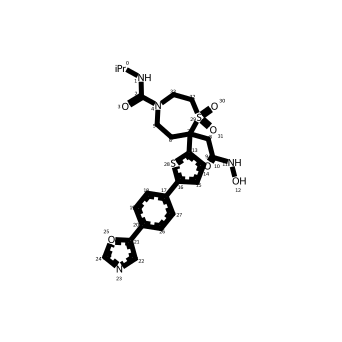 CC(C)NC(=O)N1CCC(CC(=O)NO)(c2ccc(-c3ccc(-c4cnco4)cc3)s2)S(=O)(=O)CC1